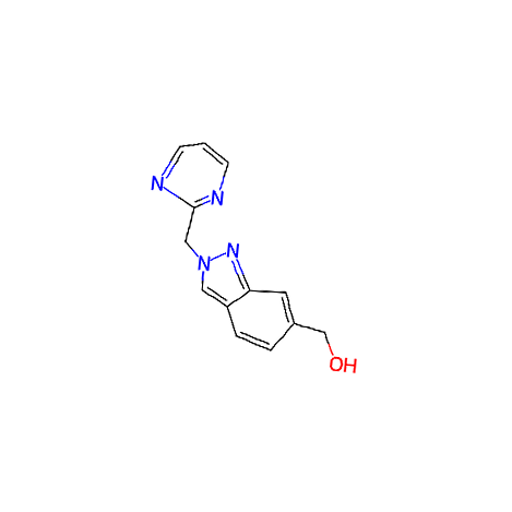 OCc1ccc2cn(Cc3ncccn3)nc2c1